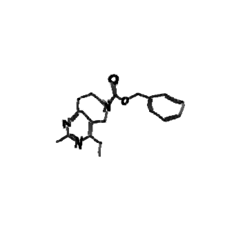 CCc1nc(C)nc2c1CN(C(=O)OCc1ccccc1)CC2